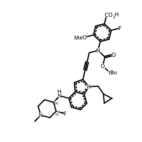 COc1cc(C(=O)O)c(F)cc1N(CC#Cc1cc2c(N[C@@H]3CCN(C)C[C@@H]3F)cccc2n1CC1CC1)C(=O)OC(C)(C)C